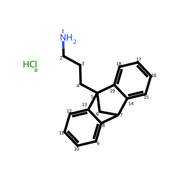 Cl.NCCCC12CC(c3ccccc31)c1ccccc12